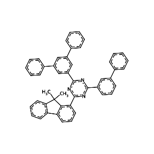 CC1(C)c2ccccc2-c2cccc(-c3nc(-c4cccc(-c5ccccc5)c4)nc(-c4cc(-c5ccccc5)cc(-c5ccccc5)c4)n3)c21